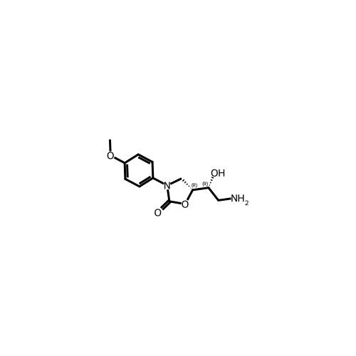 COc1ccc(N2C[C@H]([C@H](O)CN)OC2=O)cc1